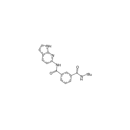 CC(C)(C)NC(=O)c1cccc(C(=O)Nc2ccc3cc[nH]c3n2)c1